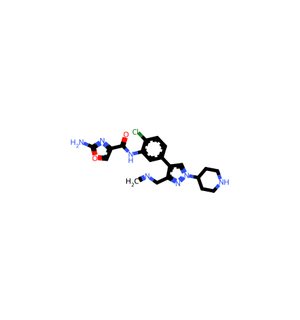 C=NCc1nn(C2CCNCC2)cc1-c1ccc(Cl)c(NC(=O)c2coc(N)n2)c1